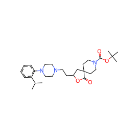 CC(C)c1ccccc1N1CCN(CCC2CC3(CCN(C(=O)OC(C)(C)C)CC3)C(=O)O2)CC1